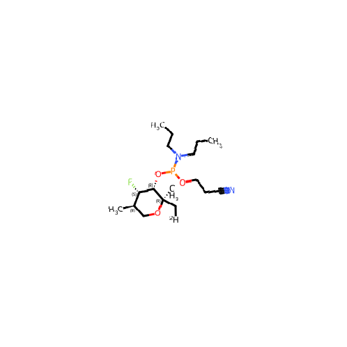 [2H]C[C@@]1(C)OC[C@@H](C)[C@H](F)[C@@H]1OP(OCCC#N)N(CCC)CCC